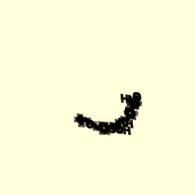 O=C1CCC(c2ccc(CCNCC(O)COc3ccc(CCOCC4CCC4)cc3)cc2)=NN1